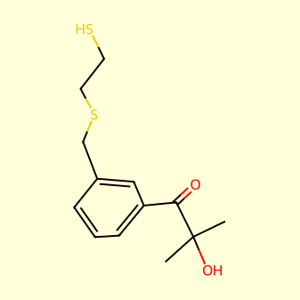 CC(C)(O)C(=O)c1cccc(CSCCS)c1